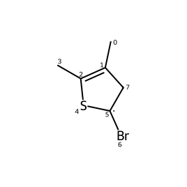 CC1=C(C)S[C](Br)C1